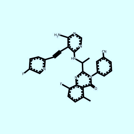 Cc1ccc(F)c2nc(C(C)Nc3ncnc(N)c3C#Cc3ccc(F)cn3)n(-c3cccc(C#N)c3)c(=O)c12